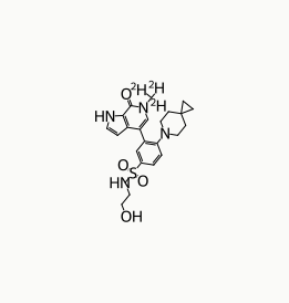 [2H]C([2H])([2H])n1cc(-c2cc(S(=O)(=O)NCCO)ccc2N2CCC3(CC2)CC3)c2cc[nH]c2c1=O